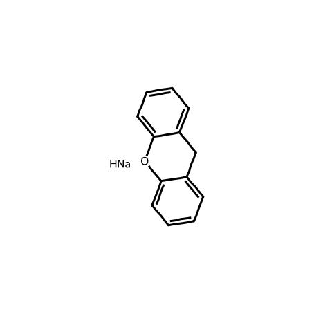 [NaH].c1ccc2c(c1)Cc1ccccc1O2